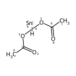 CC(=O)O[IH]OC(C)=O.[Sn]